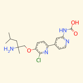 CC(C)CC(C)(N)COc1ccc(-c2ccnc(NC(=O)O)c2)nc1Cl